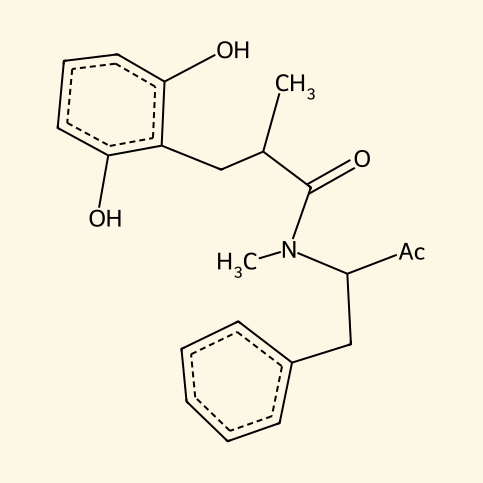 CC(=O)C(Cc1ccccc1)N(C)C(=O)C(C)Cc1c(O)cccc1O